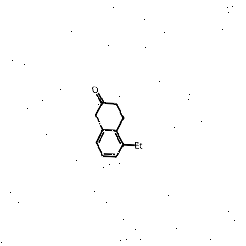 CCc1cccc2c1CCC(=O)C2